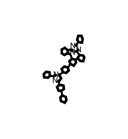 c1ccc(-c2ccc(-c3cc(-c4ccc(-c5cccc(-c6c7ccccc7c7nc(-c8ccccc8)nc(-c8ccccc8)n67)c5)cc4)nc(-c4ccccc4)n3)cc2)cc1